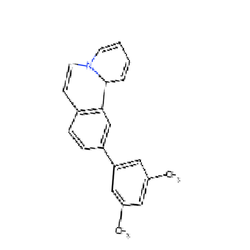 Cc1cc(C)cc(-c2ccc3c(c2)C2C=CC=CN2C=C3)c1